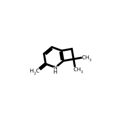 C=C1C=CC2=C(N1)C(C)(C)C2